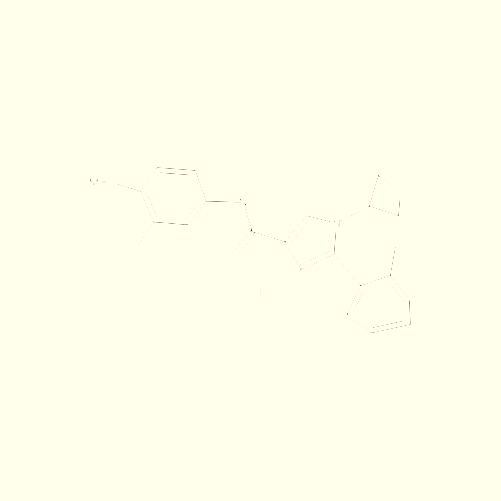 CSc1ccc(NC(=O)c2cn(C3COC3)c(-c3ccccc3C(F)(F)F)c2C)cc1F